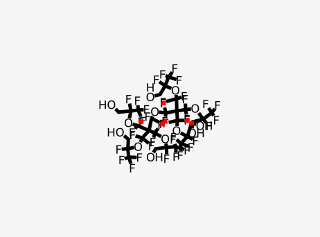 OCC(F)(OC(F)(F)C(C(F)(F)OC(F)(F)C(C(F)(F)OC(F)(CO)C(F)(F)F)(C(F)(F)OC(F)(CO)C(F)(F)F)C(F)(F)OC(F)(CO)C(F)(F)F)(C(F)(F)OC(F)(CO)C(F)(F)F)C(F)(F)OC(F)(CO)C(F)(F)F)C(F)(F)F